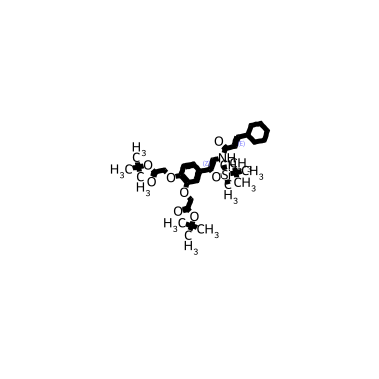 CC(C)(C)OC(=O)COc1ccc(/C(=C/NC(=O)/C=C/C2CCCCC2)O[Si](C)(C)C(C)(C)C)cc1OCC(=O)OC(C)(C)C